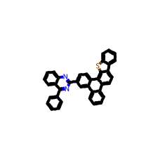 c1ccc(-c2nc(-c3ccc4c(c3)c3ccccc3c3ccc5c6ccccc6sc5c34)nc3ccccc23)cc1